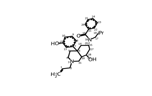 C=CCN1CCC2(c3cccc(O)c3)C[C@H](N(CC(C)C)C(=O)c3ccccc3)CC(O)C2C1